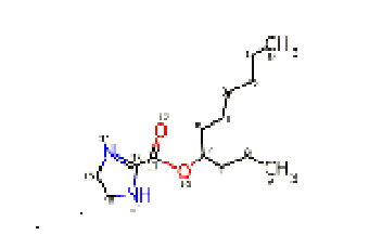 CCCCCCC(CCC)OC(=O)C1=NCCN1